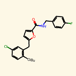 CC(C)COc1ccc(Cl)cc1Cc1ccc(C(=O)NCc2ccc(F)cc2)o1